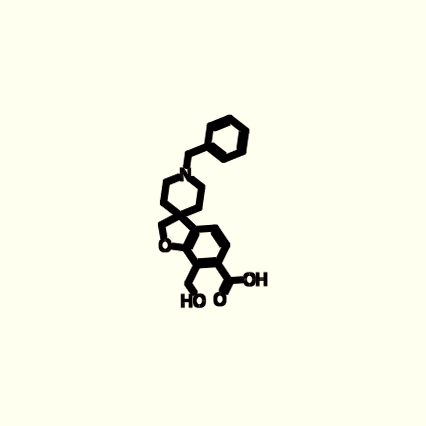 O=C(O)c1ccc2c(c1CO)OCC21CCN(Cc2ccccc2)CC1